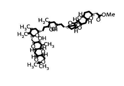 C=C(C[C@H](Cl)CC[C@@]12C[C@H]3OC4C(O1)[C@H]1O[C@@H](CC(=O)OC)CC[C@@H]1O[C@H]4C3O2)[C@@H](O)CC[C@H]1C[C@@H](C)C(=C)[C@@H](C[C@@H]2O[C@H]3C[C@H]4OC(C)(C)OC[C@H]4O[C@H]3[C@H](C)[C@H]2O)O1